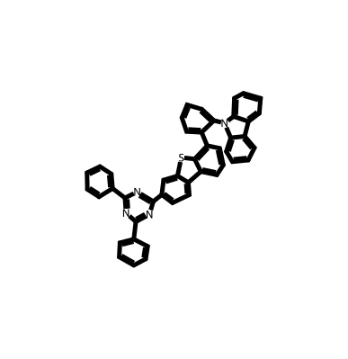 c1ccc(-c2nc(-c3ccccc3)nc(-c3ccc4c(c3)sc3c(-c5ccccc5-n5c6ccccc6c6ccccc65)cccc34)n2)cc1